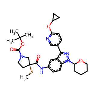 CS[C@@]1(C(=O)Nc2ccc3c(c2)c(-c2ccc(OC4CC4)nc2)nn3C2CCCCO2)CCN(C(=O)OC(C)(C)C)C1